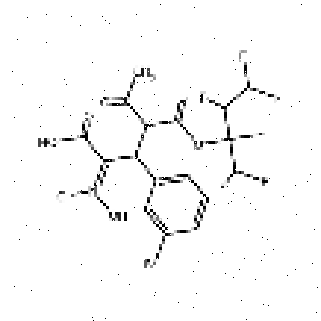 CC(=O)C(C(=O)OC(F)(C(F)F)C(F)C(F)F)C(C(C(=O)O)=[N+]([O-])O)c1cccc(Br)c1